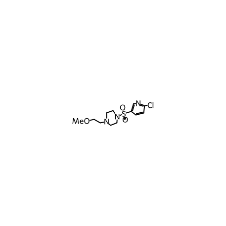 COCCN1CCN(S(=O)(=O)c2ccc(Cl)nc2)CC1